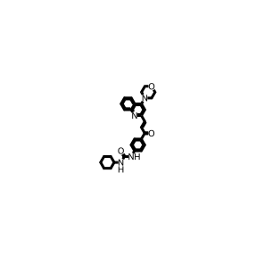 O=C(Nc1ccc(C(=O)/C=C/c2cc(N3CCOCC3)c3ccccc3n2)cc1)NC1CCCCC1